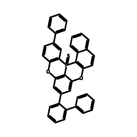 S=P12c3cc(-c4ccccc4)ccc3Oc3cc(-c4ccccc4-c4ccccc4)cc(c31)Oc1ccc3ccccc3c12